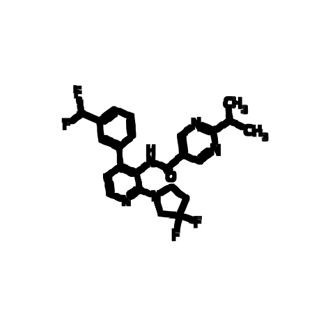 CC(C)c1ncc(C(=O)Nc2c(-c3cccc(C(F)F)c3)ccnc2N2CCC(F)(F)C2)cn1